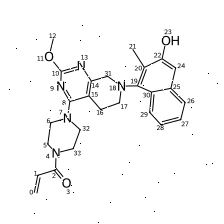 C=CC(=O)N1CCN(c2nc(OC)nc3c2CCN(c2c(C)c(O)cc4ccccc24)C3)CC1